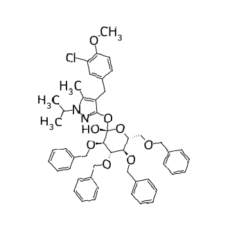 COc1ccc(Cc2c(O[C@]3(O)O[C@H](COCc4ccccc4)[C@@H](OCc4ccccc4)[C@H](OCc4ccccc4)[C@H]3OCc3ccccc3)nn(C(C)C)c2C)cc1Cl